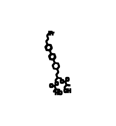 C=C(CO)C(=O)OCC(CCC1CCC(c2ccc(-c3ccc(CCCC(C)C)cc3)cc2)CC1)COC(=O)C(=C)CO